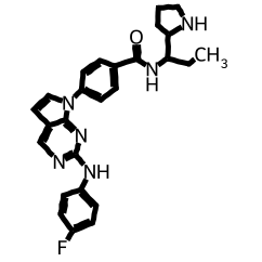 CCC(NC(=O)c1ccc(-n2ccc3cnc(Nc4ccc(F)cc4)nc32)cc1)C1CCCN1